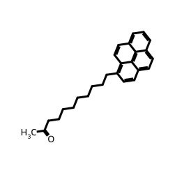 CC(=O)CCCCCCCCCc1ccc2ccc3cccc4ccc1c2c34